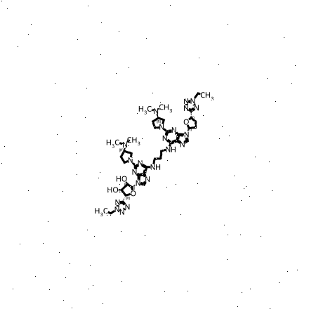 CCn1nnc([C@@H]2CC[C@H](n3cnc4c(NCCCNc5nc(N6CC[C@@H](N(C)C)C6)nc6c5ncn6[C@@H]5O[C@H](c6nnn(CC)n6)[C@@H](O)[C@H]5O)nc(N5CC[C@@H](N(C)C)C5)nc43)O2)n1